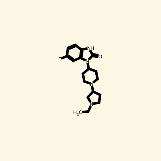 CCN1CCC(N2CCC(n3c(=O)[nH]c4ccc(F)cc43)CC2)C1